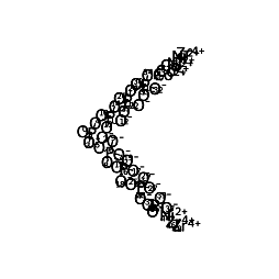 O=P([O-])([O-])[O-].O=P([O-])([O-])[O-].O=P([O-])([O-])[O-].O=P([O-])([O-])[O-].O=P([O-])([O-])[O-].O=P([O-])([O-])[O-].O=P([O-])([O-])[O-].O=P([O-])([O-])[O-].[Co+2].[Co+2].[Co+2].[Ni+2].[Ni+2].[Ni+2].[Zr+4].[Zr+4].[Zr+4]